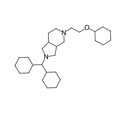 C1CCC(OCCN2CCC3CN(C(C4CCCCC4)C4CCCCC4)CC3C2)CC1